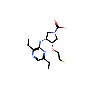 CCc1cnc(CC)c(N[C@@H]2CN(C(=O)O)C[C@@H]2OCCF)n1